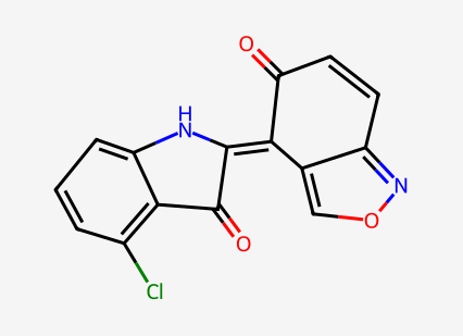 O=C1C=Cc2nocc2C1=C1Nc2cccc(Cl)c2C1=O